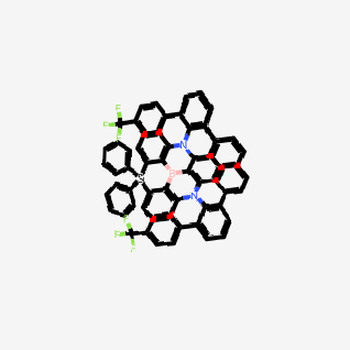 FC(F)(F)c1ccc(-c2cccc(-c3ccccc3)c2N2c3cccc4c3B3c5c2cccc5[Si](c2ccccc2)(c2ccccc2)c2cccc(c23)N4c2c(-c3ccccc3)cccc2-c2ccc(C(F)(F)F)cc2)cc1